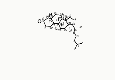 CC(C)CCC[C@@H](C)[C@H]1CC[C@H]2[C@@H]3CC[C@H]4CC([O])CC[C@]4(C)[C@H]3CC[C@]12C